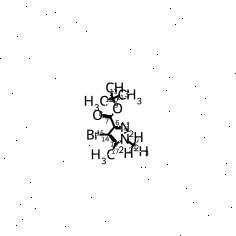 [2H]C([2H])([2H])n1nc(C(=O)OC(C)(C)C)c(Br)c1C